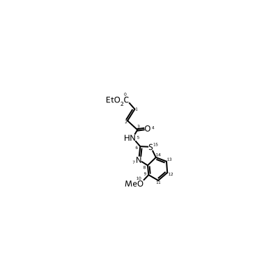 CCOC(=O)C=CC(=O)Nc1nc2c(OC)cccc2s1